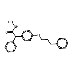 O=C(NO)C(c1ccccc1)c1ccc(OCCCc2ccccc2)cc1